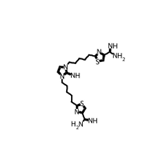 N=C(N)c1csc(CCCCCn2ccn(CCCCCc3nc(C(=N)N)cs3)c2=N)n1